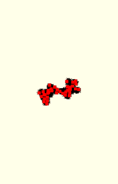 Cc1cc(-c2ccc(N(c3ccc(-c4cc5ccccc5c5ccccc45)cc3)c3c(C)cccc3-c3ccc4oc5ccccc5c4c3)c(C)c2)ccc1N(c1ccc(-c2cc3ccccc3c3ccccc23)cc1)c1c(C)cccc1-c1ccc2oc3ccccc3c2c1